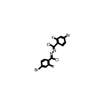 Fc1cc(Br)ccc1/C(Cl)=N/N=C(\Cl)c1ccc(Br)cc1F